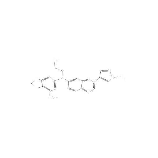 COc1cc(N(CCO)c2ccc3ncc(-c4cnn(C)c4)nc3c2)cc2c1OCO2